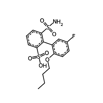 CCCCOc1ccc(F)cc1-c1c(S(N)(=O)=O)cccc1S(=O)(=O)O